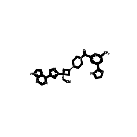 N#CC[C@]1(n2cc(-c3ncnc4[nH]ccc34)cn2)C[C@H](N2CCN(C(=O)c3cc(C4=NCCN4)cc(C(F)(F)F)n3)CC2)C1